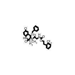 CN(C(=O)CNC(=O)OCCc1ccccc1C(F)(F)F)C1=C(OCc2ccccc2)c2cc(Cl)ccc2NC1(C)Cl